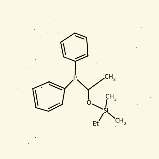 CC[Si](C)(C)OC(C)P(c1ccccc1)c1ccccc1